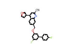 N#Cc1cc(-c2ccoc2)c2ccc(COc3cc(F)cc(-c4ccc(F)cc4)c3)cc2n1